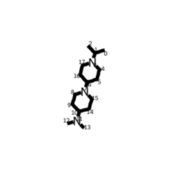 CC(C)N1CCC(N2CCC(N(C)C)CC2)CC1